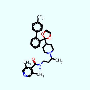 Cc1cncc(C)c1C(=O)NCCC(C)N1CCC(C2(c3ccccc3-c3ccc(C(F)(F)F)cc3)OC=CO2)CC1